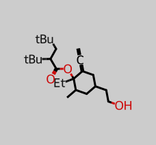 C=C=C1CC(CCO)CC(C)C1(CC)OC(=O)C(CC(C)(C)C)C(C)(C)C